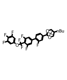 CCCCC12COC(c3ccc(-c4cc(F)c(C(F)(F)Oc5cc(F)c(F)c(F)c5)c(F)c4)c(F)c3)(OC1)OC2